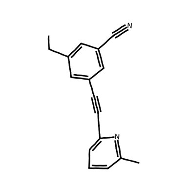 CCc1cc(C#N)cc(C#Cc2cccc(C)n2)c1